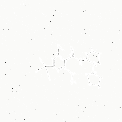 COc1cc(C(F)(F)F)cc(C)c1C(=O)N[C@H]1COCC[C@@H]1N1CCCC1